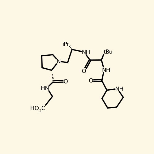 CC(C)[C@@H](CN1CCC[C@H]1C(=O)NCC(=O)O)NC(=O)C(NC(=O)C1CCCCN1)C(C)(C)C